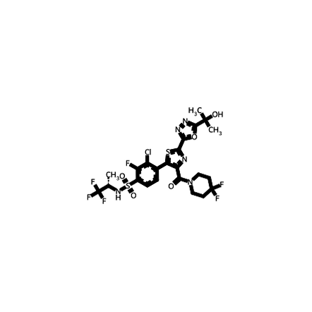 C[C@H](NS(=O)(=O)c1ccc(-c2sc(-c3nnc(C(C)(C)O)o3)nc2C(=O)N2CCC(F)(F)CC2)c(Cl)c1F)C(F)(F)F